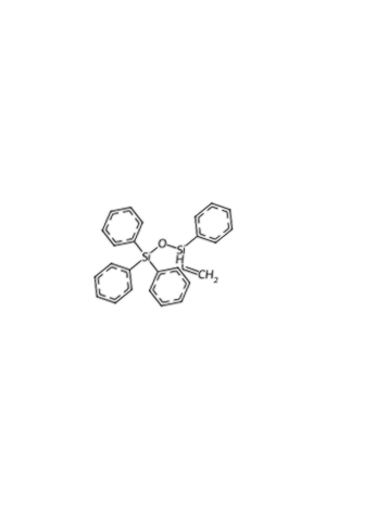 C=C[SiH](O[Si](c1ccccc1)(c1ccccc1)c1ccccc1)c1ccccc1